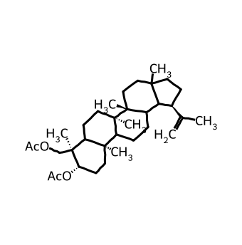 C=C(C)[C@@H]1CCC2(C)CC[C@]3(C)C(CCC4[C@@]5(C)CC[C@H](OC(C)=O)[C@@](C)(COC(C)=O)C5CC[C@]43C)C12